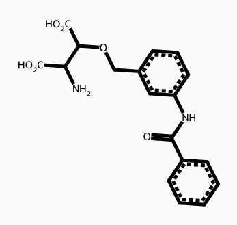 NC(C(=O)O)C(OCc1cccc(NC(=O)c2ccccc2)c1)C(=O)O